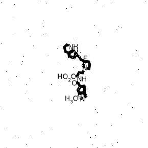 Cn1ncc2ccc(C(=O)NC(CCN3CCCC(F)(CCc4ccc5c(n4)NCCC5)C3)C(=O)O)cc21